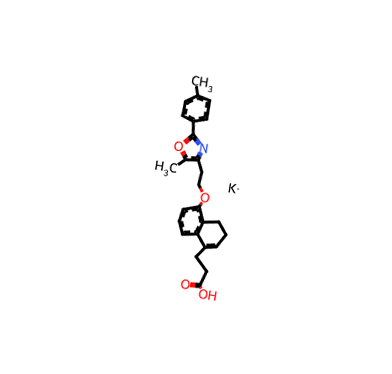 Cc1ccc(-c2nc(CCOc3cccc4c3CCC=C4CCC(=O)O)c(C)o2)cc1.[K]